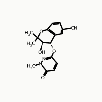 Cn1nc(O[C@H]2c3cc(C#N)ccc3OC(C)(C)[C@@H]2O)ccc1=O